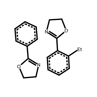 CCc1ccccc1C1=NCCO1.c1ccc(C2=NCCO2)cc1